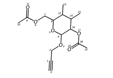 C#CCOC1OC(COC(C)=O)C(C)C(C)C1OC(C)=O